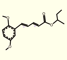 CCC(C)OC(=O)/C=C/C=C/c1cc(OC)ccc1OC